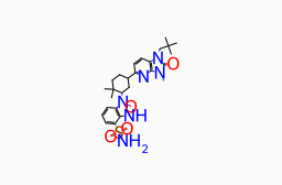 Cn1c(=O)n(CC(C)(C)C)c2ccc(C3CCC(C)(C)C(N4ONc5c4cccc5S(N)(=O)=O)C3)nc21